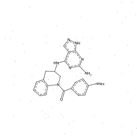 CCCCCCc1ccc(C(=O)N2CC(Nc3nc(N)nc4[nH]ncc34)Cc3ccccc32)cc1